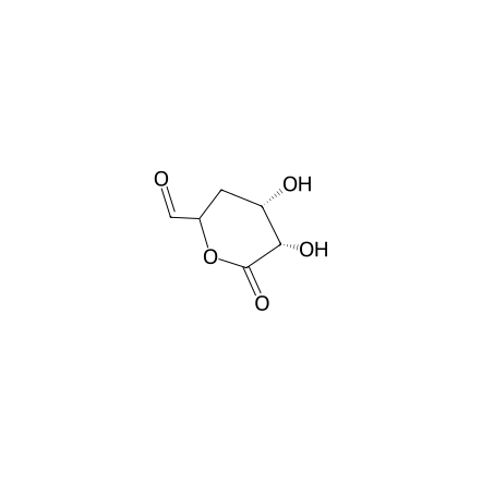 O=CC1C[C@H](O)[C@H](O)C(=O)O1